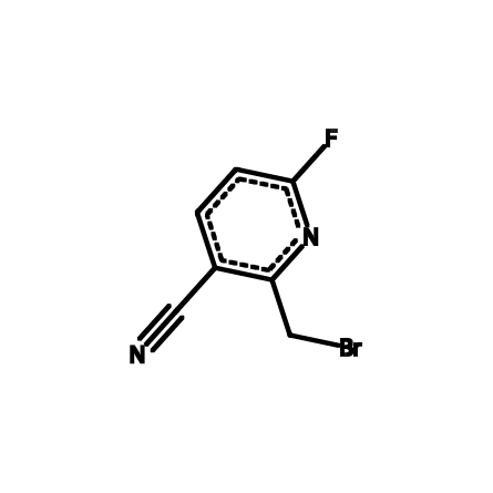 N#Cc1ccc(F)nc1CBr